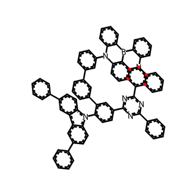 c1ccc(-c2ccc3c(c2)c2cc(-c4ccccc4)ccc2n3-c2ccc(-c3nc(-c4ccccc4)nc(-c4ccccc4)n3)cc2-c2cccc(-c3cccc(N4c5ccccc5B5c6ccccc6N(c6ccccc6)c6cccc4c65)c3)c2)cc1